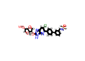 CS(C)(=O)=NCc1cccc(-c2ccc(-c3nc4[nH]c(O[C@@H]5COC6[C@H](O)CO[C@@H]65)nc4cc3Cl)cc2)c1